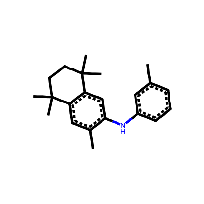 Cc1cccc(Nc2cc3c(cc2C)C(C)(C)CCC3(C)C)c1